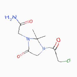 CC1(C)N(CC(N)=O)C(=O)CN1C(=O)CCl